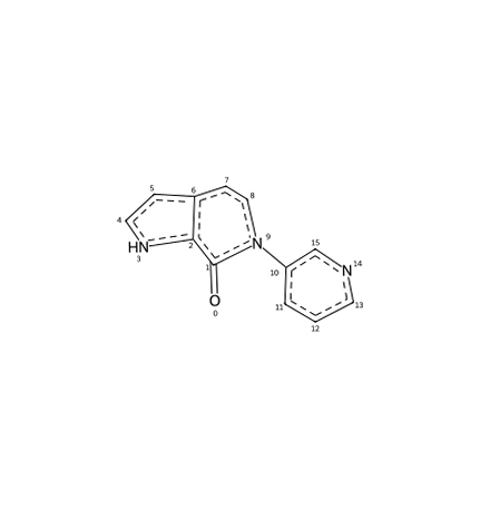 O=c1c2[nH]ccc2ccn1-c1cccnc1